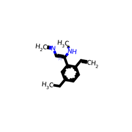 C=Cc1ccc(CC)cc1/C(=C/N=C)NC